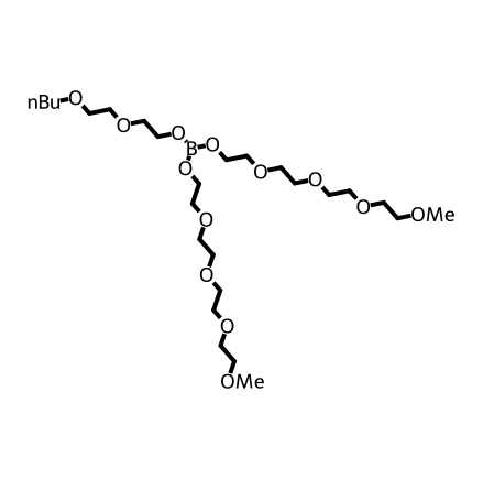 CCCCOCCOCCOB(OCCOCCOCCOCCOC)OCCOCCOCCOCCOC